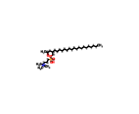 CCCCCCCCCCCCCCCCCCCC(COP(=O)(O)CCC[N+](C)(C)C)CC(C)=O